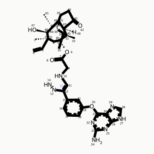 C=C[C@]1(C)C[C@@H](OC(=O)CN/C=C(\N=N)c2cccc(Oc3nc(N)nc4[nH]cnc34)c2)[C@]2(C)C(C)CC[C@]3(CCC(=O)[C@H]32)[C@@H](C)[C@@H]1O